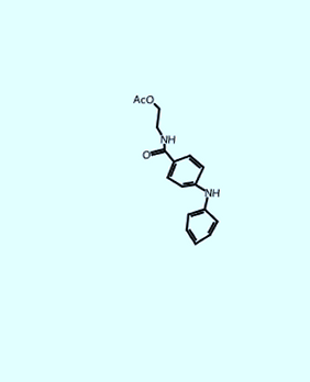 CC(=O)OCCNC(=O)c1ccc(Nc2ccccc2)cc1